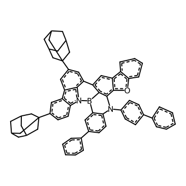 c1ccc(-c2ccc(N3c4ccc(-c5ccccc5)cc4B4c5c(cc6c(oc7ccccc76)c53)-c3cc(C56CC7CC(CC(C7)C5)C6)cc5c6cc(C78CC9CC(CC(C9)C7)C8)ccc6n4c35)cc2)cc1